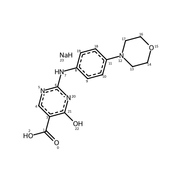 O=C(O)c1cnc(Nc2ccc(N3CCOCC3)cc2)nc1O.[NaH]